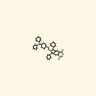 O=[N+]([O-])c1cc2c(-c3ccccc3)n(N=Cc3ccc(N(c4ccccc4)c4ccccc4)cc3)c(-c3ccccc3)c2cc1[N+](=O)[O-]